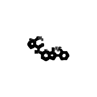 Cn1nccc1C(=O)Nc1ccc2cc(-c3ccccc3C(F)(F)F)[nH]c2n1